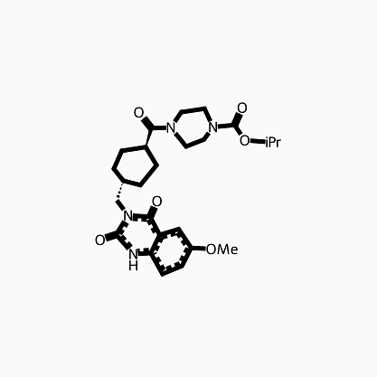 COc1ccc2[nH]c(=O)n(C[C@H]3CC[C@H](C(=O)N4CCN(C(=O)OC(C)C)CC4)CC3)c(=O)c2c1